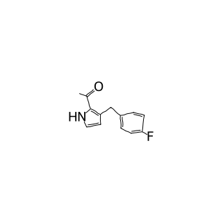 CC(=O)c1[nH]ccc1Cc1ccc(F)cc1